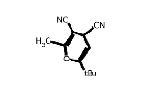 CC1=C(C#N)C(C#N)C=C(C(C)(C)C)O1